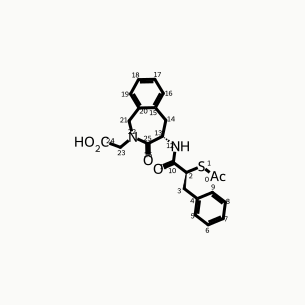 CC(=O)S[C@@H](Cc1ccccc1)C(=O)N[C@H]1Cc2ccccc2CN(CC(=O)O)C1=O